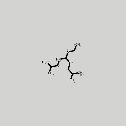 CCS[C](NCC(C)C)OCC(C)C